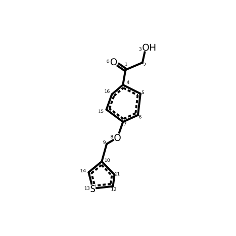 O=C(CO)c1ccc(OCc2ccsc2)cc1